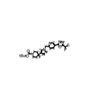 CC(C)(C)OC(=O)N1CCC(F)(c2cn(Cc3ccc(-c4nnc(C(F)F)o4)cn3)nn2)CC1